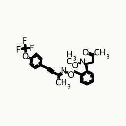 CO/N=C(/CC(C)=O)c1ccccc1CO/N=C(\C)C#Cc1ccc(OC(F)(F)F)cc1